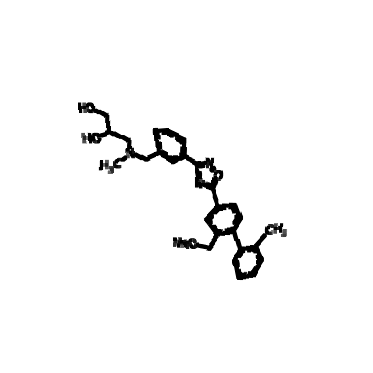 COCc1cc(-c2nc(-c3cccc(CN(C)CC(O)CO)c3)no2)ccc1-c1ccccc1C